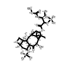 CC[Si](CC)(CC)OC(C(=O)O[C@H]1C[C@@]2(O)[C@@H](C)[C@@H]3[C@]4(C)CO[C@@H]4CC(O[Si](CC)(CC)CC)[C@@]3(C)C(=O)[C@H](O)C(=C1C)C2(C)C)[C@H](CC(C)C)NC(=O)OC(C)(C)C